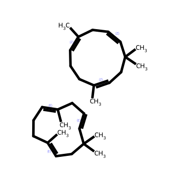 C/C1=C/CC/C(C)=C\CC(C)(C)/C=C\C1.C/C1=C\CC/C(C)=C/CC(C)(C)/C=C/C1